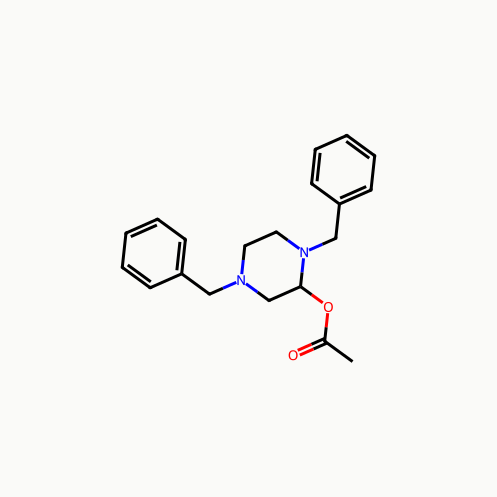 CC(=O)OC1CN(Cc2ccccc2)CCN1Cc1ccccc1